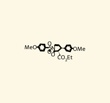 CCOC(=O)C[C@@H]1C(=O)N(S(=O)(=O)c2ccc(OC)cc2)C=C[C@H]1c1ccc(OC)cc1